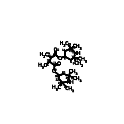 CC(C(=O)OC1CC(C)(C)NC(C)(C)C1)C(C)C(=O)OC1CC(C)(C)NC(C)(C)C1